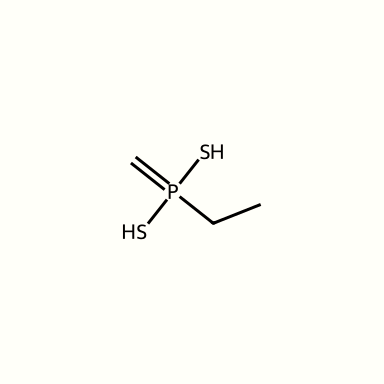 C=P(S)(S)CC